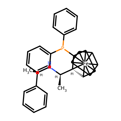 C[C@@H](N[C@H](C)[C@@]12[CH]3[CH]4[CH]5[C]1(P(c1ccccc1)c1ccccc1)[Fe]45321678[CH]2[CH]1[CH]6[CH]7[CH]28)c1ccccc1